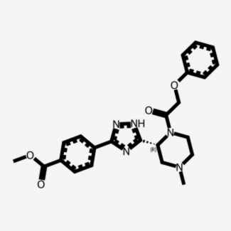 COC(=O)c1ccc(-c2n[nH]c([C@H]3CN(C)CCN3C(=O)COc3ccccc3)n2)cc1